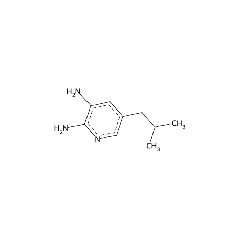 CC(C)Cc1cnc(N)c(N)c1